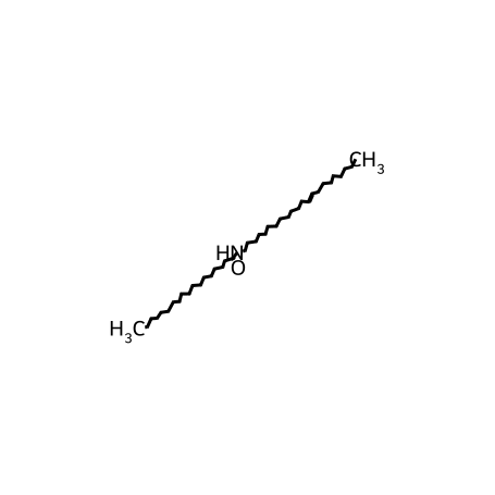 CCCCCCCCC=CCCCCCCCCCCCCNC(=O)CCCCCCCCCCCCCCCCC